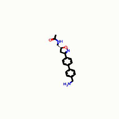 CC(=O)NC[C@H]1CC(c2ccc(-c3ccc(CN)cc3)cc2)=NO1